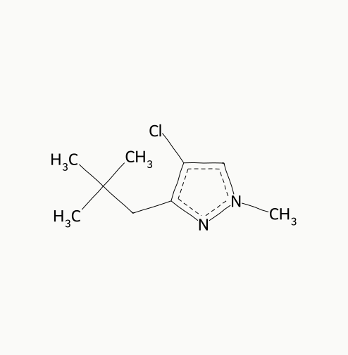 Cn1cc(Cl)c(CC(C)(C)C)n1